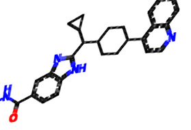 O=C(NC1CC1)c1ccc2[nH]c(C(C3CCC(c4ccnc5ccc(F)cc45)CC3)C3CC3)nc2c1